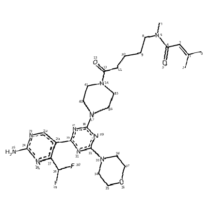 CC(C)=CC(=O)N(C)CCCCC(=O)N1CCN(c2nc(-c3cnc(N)nc3C(F)F)nc(N3CCOCC3)n2)CC1